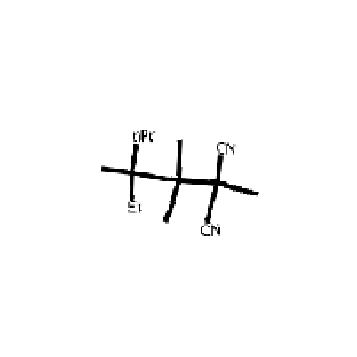 CCCC(C)(CC)C(C)(C)C(C)(C#N)C#N